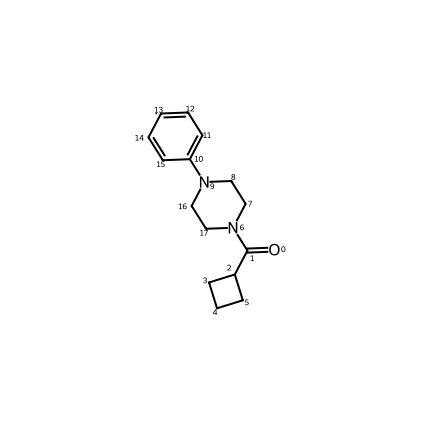 O=C(C1CCC1)N1CCN(c2cc[c]cc2)CC1